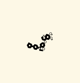 COc1cc2nccc(Oc3ccc4c(c3)OCCN4c3ccc(-c4ccccc4)cc3)c2cc1OC